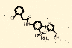 CSc1cnn(-c2ccc(NC(=O)Cc3ccccc3Cl)cc2S(N)(=O)=O)c1